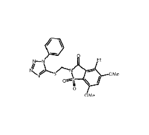 CCc1c(OC)cc(OC)c2c1C(=O)N(CSc1nnnn1-c1ccccc1)S2(=O)=O